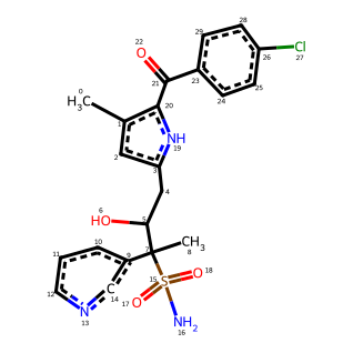 Cc1cc(CC(O)C(C)(c2cccnc2)S(N)(=O)=O)[nH]c1C(=O)c1ccc(Cl)cc1